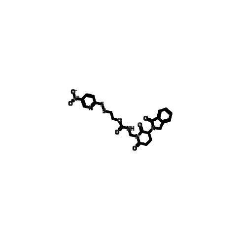 O=C(NCN1C(=O)CCC(N2Cc3ccccc3C2=O)C1=O)OCCSSc1ccc([N+](=O)[O-])cn1